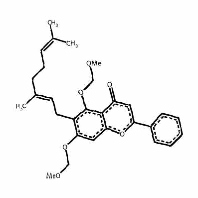 COCOc1cc2oc(-c3ccccc3)cc(=O)c2c(OCOC)c1C/C=C(\C)CCC=C(C)C